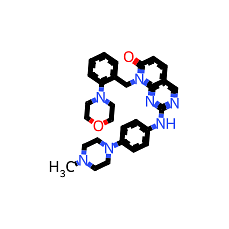 CN1CCN(c2ccc(Nc3ncc4ccc(=O)n(Cc5ccccc5N5CCOCC5)c4n3)cc2)CC1